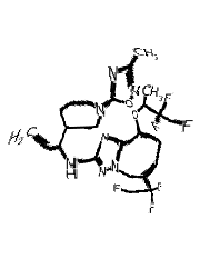 C=CC(Nc1nc2c(OC(C)C(F)(F)F)ccc(C(F)(F)F)n2n1)C1CCN(c2nc(C)no2)C1